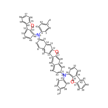 Cc1ccc(N(c2ccc3cc4c(cc3c2)oc2cc3cc(N(c5ccc(C)cc5)c5cccc6c5oc5ccccc56)ccc3cc24)c2cccc3c2oc2ccccc23)cc1